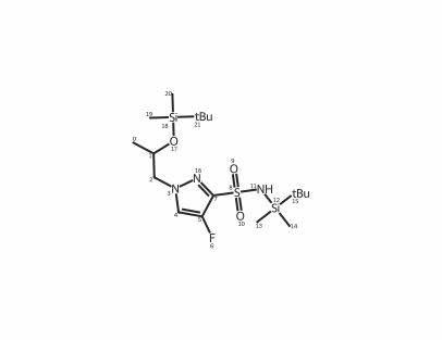 CC(Cn1cc(F)c(S(=O)(=O)N[Si](C)(C)C(C)(C)C)n1)O[Si](C)(C)C(C)(C)C